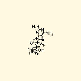 Nc1nc(N)c2ncn(CC3(OC(CC(F)(F)F)(CC(F)(F)F)P(=O)(O)O)CC3)c2n1